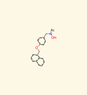 CC(=O)N(O)Cc1ccc(OCc2cccc3ccccc23)cc1